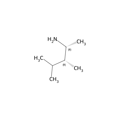 CC(C)[C@@H](C)[C@@H](C)N